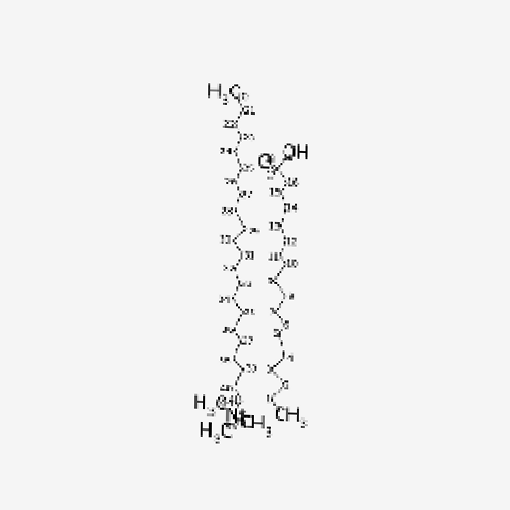 CCCCCCCCCCCCCCCCCC(=O)O.CCCCCCCCCCCCCCCCCCCCCC[N+](C)(C)C